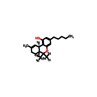 [2H]C([2H])([2H])C1(C([2H])([2H])[2H])Oc2cc(CCCCC)cc(O)c2[C@]2([2H])C=C(C)CC[C@@H]12